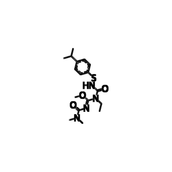 CCN(C(=O)NSc1ccc(C(C)C)cc1)C(=NC(=O)N(C)C)OC